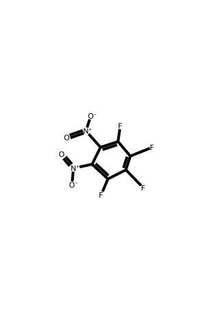 O=[N+]([O-])c1c(F)c(F)c(F)c(F)c1[N+](=O)[O-]